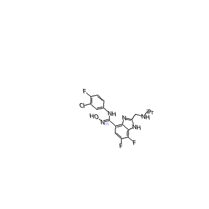 CC(C)NCc1nc2c(/C(=N/O)Nc3ccc(F)c(Cl)c3)cc(F)c(F)c2[nH]1